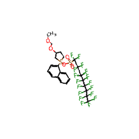 COCOC1CCS(OS(=O)(=O)C(F)(F)C(F)(F)C(F)(F)C(F)(F)C(F)(F)C(F)(F)C(F)(F)C(F)(F)F)(c2cccc3ccccc23)C1